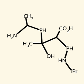 CC(C)NPC(C(=O)O)C(C)(O)PC(C)N